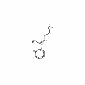 CC(C)/C(=N\CCO)c1ccccc1